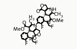 COC(=O)C1=C(C)NC2=C(C(=O)OC2)[C@H]1c1ccc(N2C(C)=C(C(=O)OC)[C@H](c3cccc(F)c3[C@@H](F)CF)C3=C2COC3=O)c(F)c1[C@H](F)CF